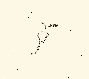 CNC(=O)c1ccc(C#CC(F)(F)F)cc1